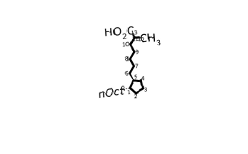 CCCCCCCC[C@H]1CCC[C@@H]1CCCCCC(C)C(=O)O